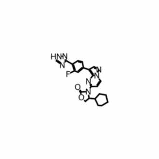 O=C1OCC(C2CCCCC2)N1c1ccn2ncc(-c3ccc(-c4nc[nH]n4)c(F)c3)c2n1